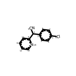 N#CC(c1ccc(Cl)cc1)c1ccccn1